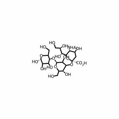 CC(=O)N[C@@H]1C(O)C[C@](OC2C(O)[C@H](O[C@@H]3C(CO)O[C@@H](O)C(O)C3O)OC(CO)[C@@H]2O)(C(=O)O)OC1[C@H](O)[C@H](O)CO